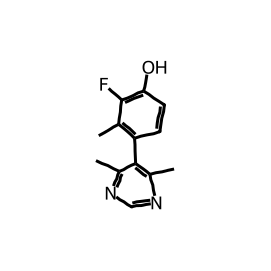 Cc1ncnc(C)c1-c1ccc(O)c(F)c1C